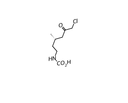 C[C@@H](CCNC(=O)O)CC(=O)CCl